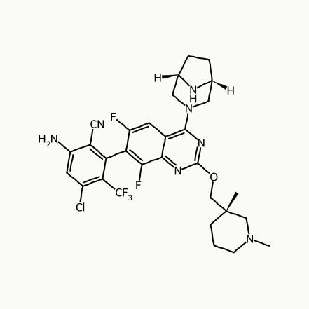 CN1CCC[C@](C)(COc2nc(N3C[C@H]4CC[C@@H](C3)N4)c3cc(F)c(-c4c(C#N)c(N)cc(Cl)c4C(F)(F)F)c(F)c3n2)C1